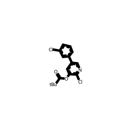 CC(C)(C)C(=O)Oc1cc(-c2cccc(Cl)c2)cnc1Cl